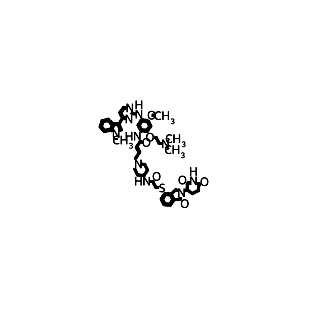 COc1cc(OCCN(C)C)c(NC(=O)/C=C/CN2CCC(NC(=O)CSc3cccc4c3CN(C3CCC(=O)NC3=O)C4=O)CC2)cc1Nc1nccc(-c2cn(C)c3ccccc23)n1